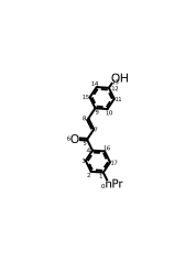 CCCc1ccc(C(=O)/C=C/c2ccc(O)cc2)cc1